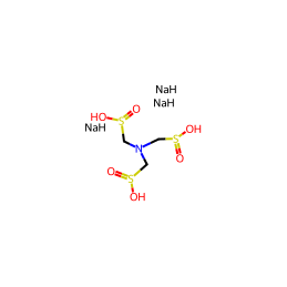 O=S(O)CN(CS(=O)O)CS(=O)O.[NaH].[NaH].[NaH]